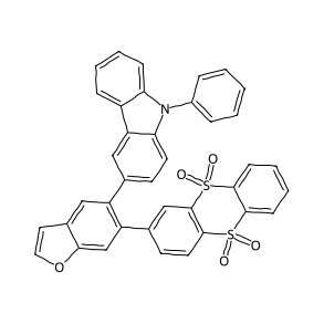 O=S1(=O)c2ccccc2S(=O)(=O)c2cc(-c3cc4occc4cc3-c3ccc4c(c3)c3ccccc3n4-c3ccccc3)ccc21